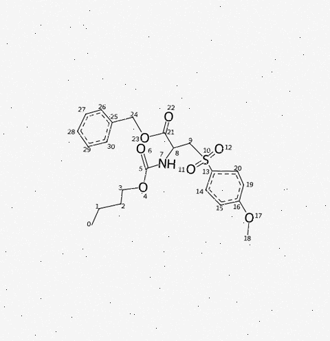 CCCCOC(=O)NC(CS(=O)(=O)c1ccc(OC)cc1)C(=O)OCc1ccccc1